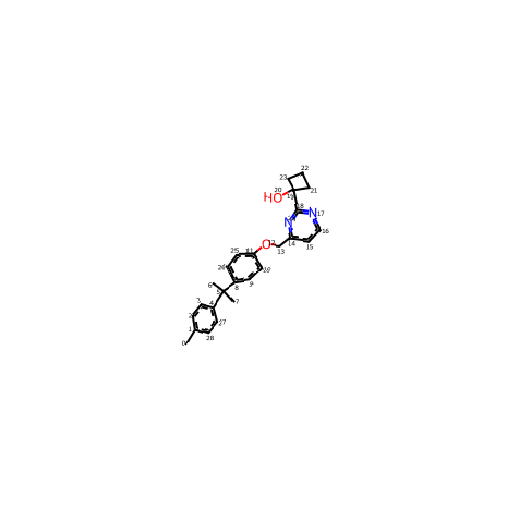 Cc1ccc(C(C)(C)c2ccc(OCc3ccnc(C4(O)CCC4)n3)cc2)cc1